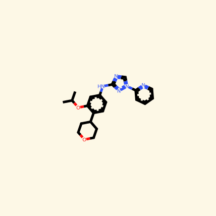 CC(C)Oc1cc(Nc2ncn(-c3ccccn3)n2)ccc1C1CCOCC1